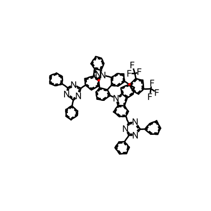 N#Cc1cccc(-n2c3ccccc3c3cc(-c4nc(-c5ccccc5)nc(-c5ccccc5)n4)ccc32)c1-c1cc(-c2ccc(C(F)(F)F)cc2C(F)(F)F)ccc1-n1c2ccccc2c2cc(-c3nc(-c4ccccc4)nc(-c4ccccc4)n3)ccc21